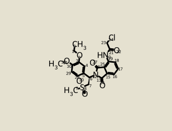 CCOc1cc([C@H](CS(C)(=O)=O)N2C(=O)c3cccc(NC(=O)CCl)c3C2=O)ccc1OC